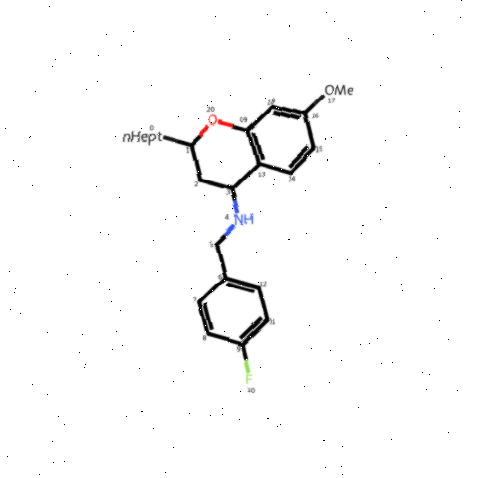 CCCCCCCC1CC(NCc2ccc(F)cc2)c2ccc(OC)cc2O1